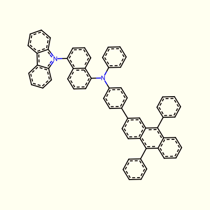 c1ccc(-c2c3ccccc3c(-c3ccccc3)c3cc(-c4ccc(N(c5ccccc5)c5cccc6c(-n7c8ccccc8c8ccccc87)cccc56)cc4)ccc23)cc1